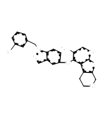 N#Cc1cnc2sc3c(c2c1Nc1ccc2c(cnn2Cc2cccc(F)c2)c1)CCNC3